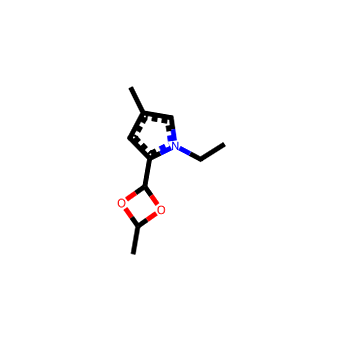 CCn1cc(C)cc1C1OC(C)O1